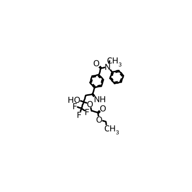 CCOC(=O)COC(O)(CC(=N)c1ccc(C(=O)N(C)c2ccccc2)cc1)C(F)(F)F